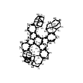 c1nc2c(c3c4c5c6c7c(ncc6n6c8cnc9c(c8c(c8c%10c%11c(ncc%10n(c13)c48)C1CC3CC4CC%11C34C1)c56)C1CC3CC4CC9CC431)C1CC3CC4CC7C34C1)C1CC3CC(CC2C3)C1